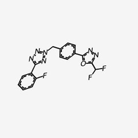 Fc1ccccc1-c1nnn(Cc2ccc(-c3nnc(C(F)F)o3)cc2)n1